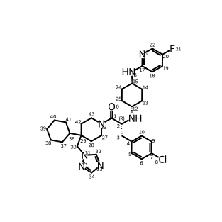 O=C([C@@H](Cc1ccc(Cl)cc1)N[C@H]1CC[C@H](Nc2ccc(F)cn2)CC1)N1CCC(Cn2cncn2)(C2CCCCC2)CC1